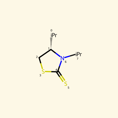 CC(C)[C@H]1CSC(=S)N1C(C)C